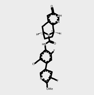 COc1ncc(-c2cc(F)c(NC(=O)N3[C@H]4CC[C@@H]3c3n[nH]c(=O)cc3C4)cc2Cl)cc1F